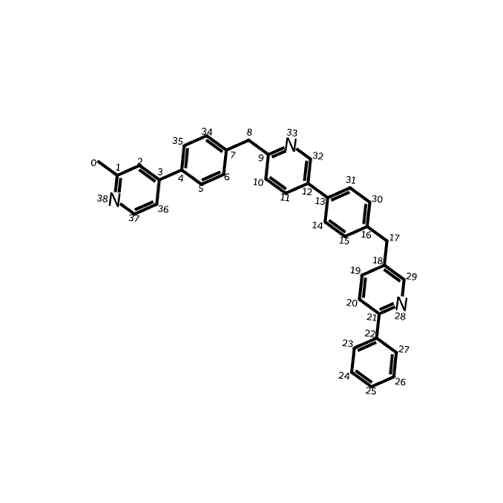 Cc1cc(-c2ccc(Cc3ccc(-c4ccc(Cc5ccc(-c6ccccc6)nc5)cc4)cn3)cc2)ccn1